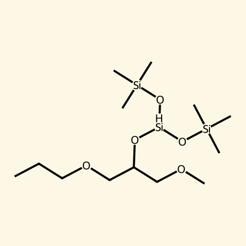 CCCOCC(COC)O[SiH](O[Si](C)(C)C)O[Si](C)(C)C